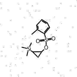 Cc1ccccc1S(=O)(=O)OC1CC1[Si](C)(C)C